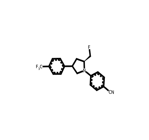 N#Cc1ccc(N2CC(c3ccc(C(F)(F)F)cc3)C[C@H]2CF)cc1